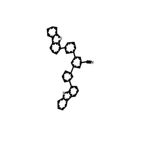 N#Cc1cc(-c2cccc(-c3cccc4c3sc3ccccc34)c2)cc(-c2cccc(-c3cccc4c3sc3ccccc34)c2)c1